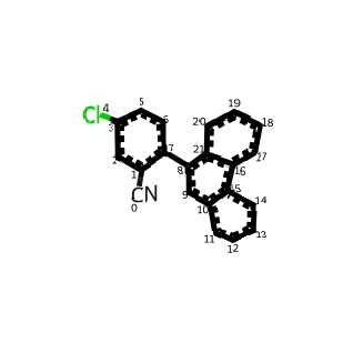 N#Cc1cc(Cl)ccc1-c1cc2ccccc2c2ccccc12